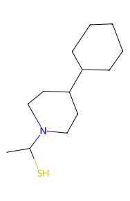 CC(S)N1CCC(C2CCCCC2)CC1